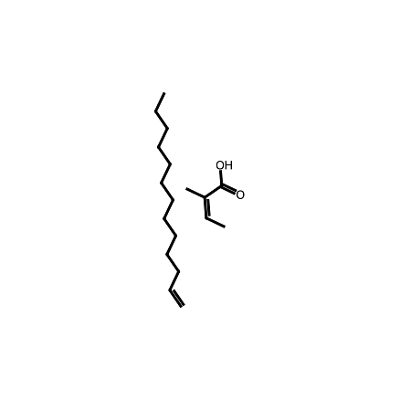 C/C=C(/C)C(=O)O.C=CCCCCCCCCCCC